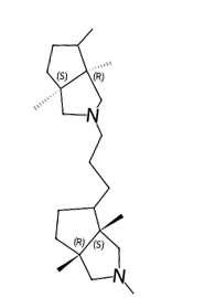 CC1CC[C@]2(C)CN(CCCC3CC[C@@]4(C)CN(C)C[C@@]34C)C[C@]12C